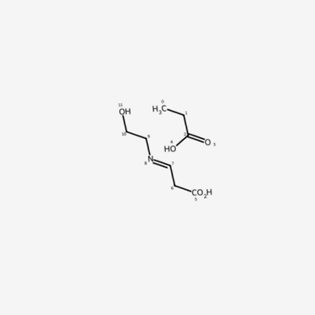 CCC(=O)O.O=C(O)CC=NCCO